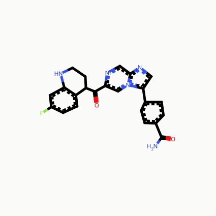 NC(=O)c1ccc(-c2cnc3cnc(C(=O)C4CCNc5cc(F)ccc54)cn23)cc1